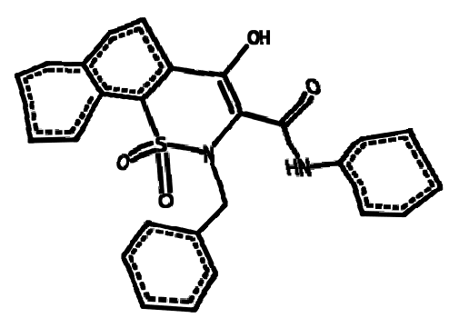 O=C(Nc1ccccc1)C1=C(O)c2ccc3ccccc3c2S(=O)(=O)N1Cc1ccccc1